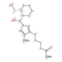 COC(=O)CCCOC1=CC(C(O)N2CCCC[C@H]2CO)C=C1OC